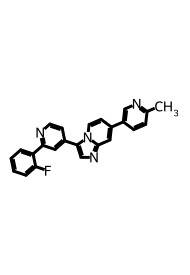 Cc1ccc(-c2ccn3c(-c4ccnc(-c5ccccc5F)c4)cnc3c2)cn1